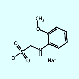 COc1ccccc1NCS(=O)(=O)[O-].[Na+]